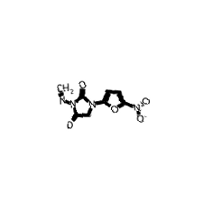 C=NN1C(=O)CN(c2ccc([N+](=O)[O-])o2)C1=O